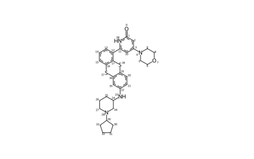 O=c1cc(N2CCOCC2)cc(-c2cccc3c2Sc2ccc(NC4CCCN(C5CCCC5)C4)cc2S3)[nH]1